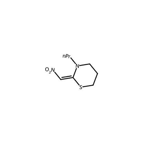 CCCN1CCCSC1=C[N+](=O)[O-]